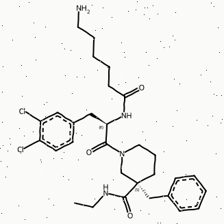 CCNC(=O)[C@]1(Cc2ccccc2)CCCN(C(=O)[C@@H](Cc2ccc(Cl)c(Cl)c2)NC(=O)CCCCCN)C1